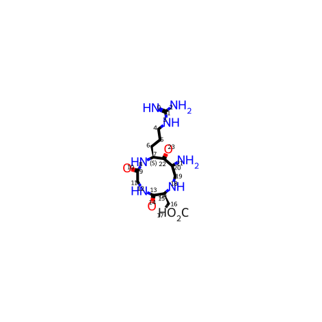 N=C(N)NCCC[C@@H]1NC(=O)CNC(=O)[C@H](CC(=O)O)NCC(N)C1=O